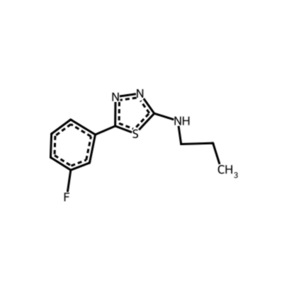 CCCNc1nnc(-c2cccc(F)c2)s1